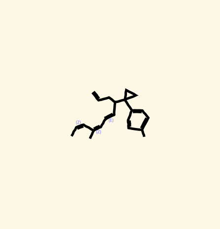 C=CCC(/C=C/C=C(C)\C=C/C)C1(c2ccc(C)cc2)CC1